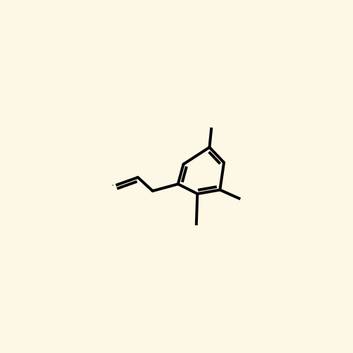 [CH]=CCc1cc(C)cc(C)c1C